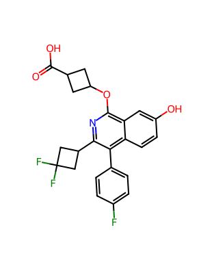 O=C(O)C1CC(Oc2nc(C3CC(F)(F)C3)c(-c3ccc(F)cc3)c3ccc(O)cc23)C1